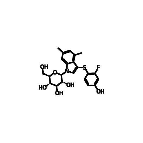 Cc1cc(C)c2c(Sc3ccc(O)cc3F)cn([C@@H]3O[C@H](CO)[C@@H](O)[C@H](O)[C@H]3O)c2c1